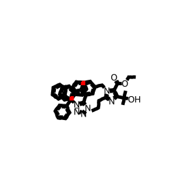 CCCc1nc(C(C)(C)O)c(C(=O)OCC)n1Cc1ccc(-c2ccccc2)c(-c2nnnn2C(c2ccccc2)(c2ccccc2)c2ccccc2)c1